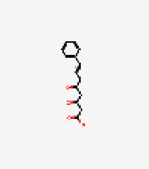 O=C(O)CC(=O)CC(=O)C/C=C/c1ccccc1